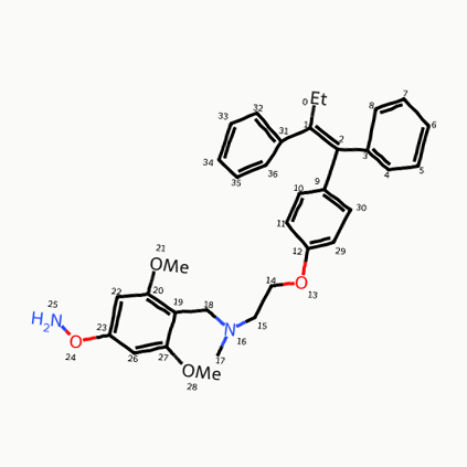 CC/C(=C(\c1ccccc1)c1ccc(OCCN(C)Cc2c(OC)cc(ON)cc2OC)cc1)c1ccccc1